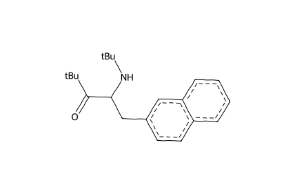 CC(C)(C)NC(Cc1ccc2ccccc2c1)C(=O)C(C)(C)C